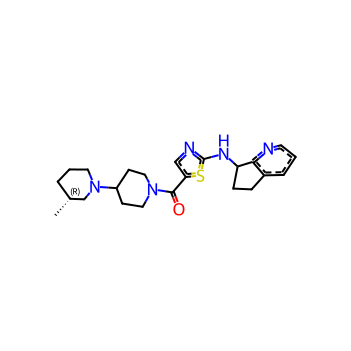 C[C@@H]1CCCN(C2CCN(C(=O)c3cnc(NC4CCc5cccnc54)s3)CC2)C1